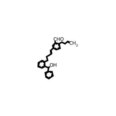 C=CCCc1ccc(/C=C/CCc2ccccc2C(O)c2ccccc2)cc1C=O